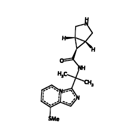 CSc1cccn2c(C(C)(C)NC(=O)[C@H]3[C@@H]4CNC[C@@H]43)ncc12